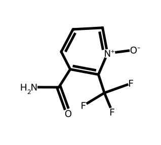 NC(=O)c1ccc[n+]([O-])c1C(F)(F)F